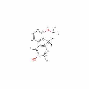 Cc1cc(C2(C)CC(C)(C)Oc3ccccc32)cc(C)c1O